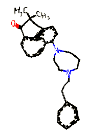 CC1(C)C(=O)c2cccc3c(N4CCCN(CCc5ccccc5)CC4)ccc1c23